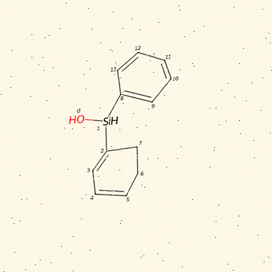 O[SiH](C1=CC=CCC1)c1ccccc1